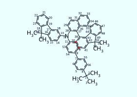 CC(C)(C)c1ccc(-c2ccc(N(c3ccc4c(c3)-c3ccccc3C4(C)C)c3ccc4ccccc4c3-c3cccc4c3-c3ccccc3C4(C)C)cc2)cc1